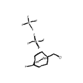 FC12CCC(CCl)(CC1)NN2.F[B-](F)(F)F.F[B-](F)(F)F